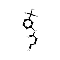 O=C/C=C\C(=O)Nc1cccc(C(F)(F)F)c1